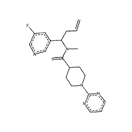 C=CCC(c1cncc(F)c1)N(C)C(=C)C1CCN(c2ncccn2)CC1